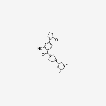 Cc1cc(C)cc(N2CCN(C(=O)c3ccc(N4CCCC4=O)cc3C#N)CC2)c1